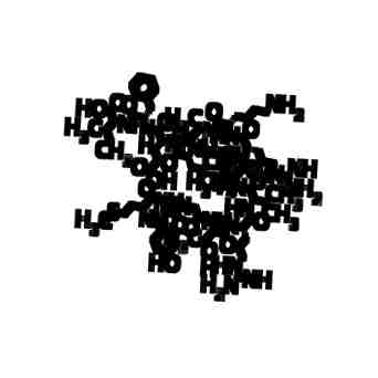 CC[C@H](C)[C@H](NC(=O)[C@H](Cc1ccccc1)NC(=O)[C@H](CCC(=O)O)NC(=O)[C@H](CC(C)C)NC(=O)[C@H](C)NC(=O)[C@H](CCCCN)NC(=O)[C@H](CCCNC(=N)N)NC(=O)[C@@H](NC(=O)[C@@H](NC(=O)[C@H](CCCNC(=N)N)NC(=O)[C@@H](NC(=O)CNC(=O)[C@H](Cc1ccc(O)cc1)NC(=O)[C@@H](N)CCSC)[C@@H](C)O)C(C)C)[C@@H](C)CC)C(=O)O